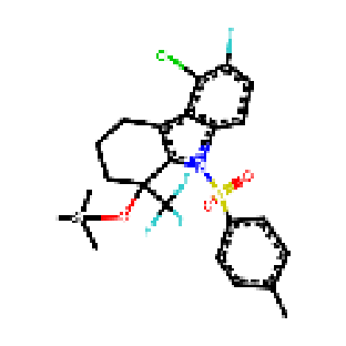 Cc1ccc(S(=O)(=O)n2c3c(c4c(Cl)c(F)ccc42)CCCC3(O[Si](C)(C)C)C(F)(F)F)cc1